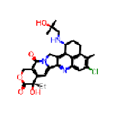 CC[C@@]1(O)C(=O)OCc2c1cc1n(c2=O)Cc2c-1nc1cc(Cl)c(C)c3c1c2[C@@H](NCC(C)(C)O)CC3